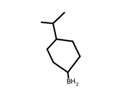 BC1CCC(C(C)C)CC1